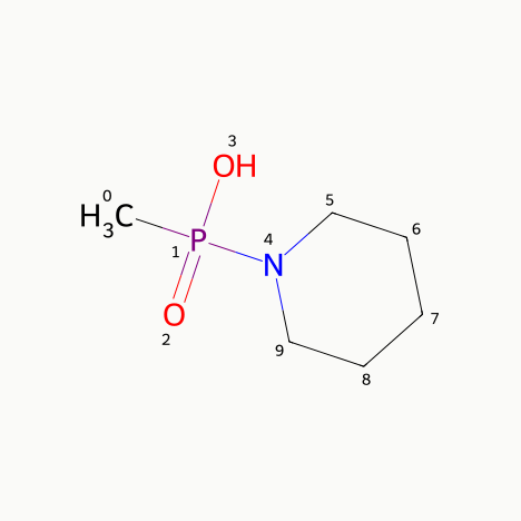 CP(=O)(O)N1CCCCC1